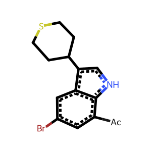 CC(=O)c1cc(Br)cc2c(C3CCSCC3)c[nH]c12